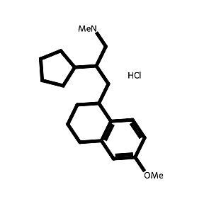 CNCC(CC1CCCc2cc(OC)ccc21)C1CCCC1.Cl